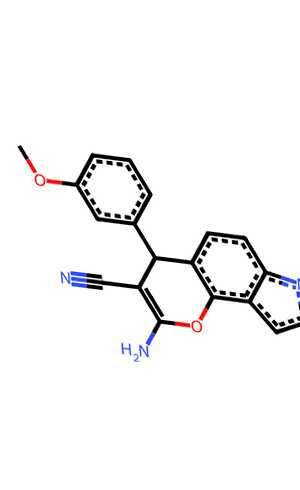 COc1cccc(C2C(C#N)=C(N)Oc3c2ccc2[nH]ccc32)c1